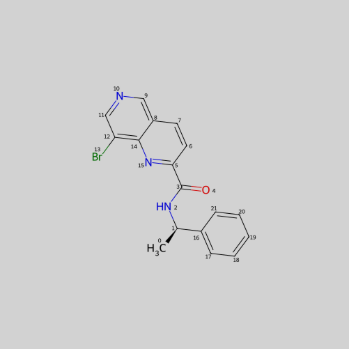 C[C@@H](NC(=O)c1ccc2cncc(Br)c2n1)c1ccccc1